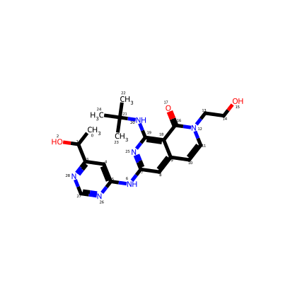 CC(O)c1cc(Nc2cc3ccn(CCO)c(=O)c3c(NC(C)(C)C)n2)ncn1